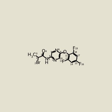 CC(Br)C(=O)Nc1cnc(Oc2c(F)cc(F)cc2F)cn1